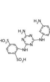 Nc1cccc(Nc2nc(N)nc(Nc3cc(S(=O)(=O)O)ccc3S(=O)(=O)O)n2)c1